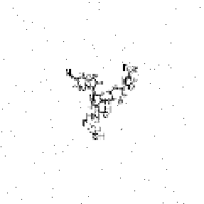 CC(C)(O)[C@H](F)CNC(=O)c1cnc(-c2ccc3cc(C#N)cnn23)cc1NC1CCC(c2nc(C(F)F)co2)CC1